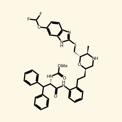 COC(=O)N[C@H](C(=O)Nc1ccccc1CC[C@@H]1CN[C@H](C)[C@@H](CSc2nc3ccc(OC(F)F)cc3[nH]2)O1)C(c1ccccc1)c1ccccc1